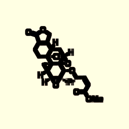 COC(=O)/C=C\CO[C@@H]1[C@@]2(C(C)C)O[C@H]2[C@@H]2C[C@]23[C@]12O[C@H]2C[C@H]1C2=C(CC[C@@]13C)C(=O)OC2